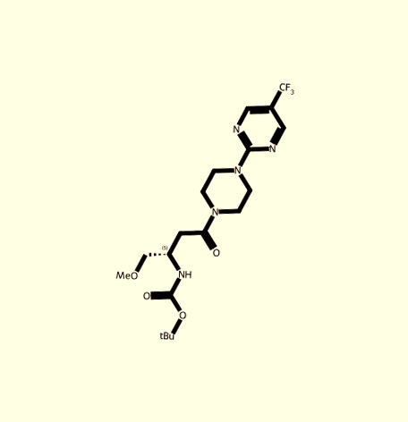 COC[C@H](CC(=O)N1CCN(c2ncc(C(F)(F)F)cn2)CC1)NC(=O)OC(C)(C)C